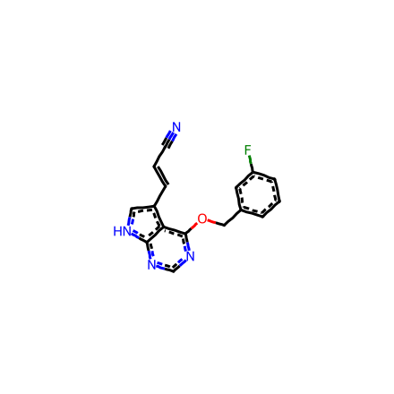 N#C/C=C/c1c[nH]c2ncnc(OCc3cccc(F)c3)c12